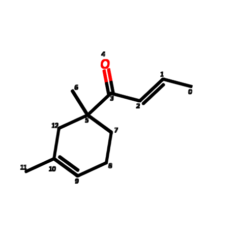 CC=CC(=O)C1(C)CCC=C(C)C1